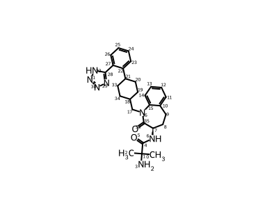 CC(C)(N)C(=O)N[C@@H]1CCc2ccccc2N(CC2CCC(c3ccccc3-c3nnn[nH]3)CC2)C1=O